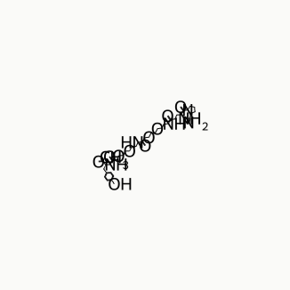 CC(=O)[C@H](Cc1ccc(O)cc1)NC(=O)COCCOCCNC(=O)COCCOCCNC(=O)CC[C@H](N)C(=O)N1CCC[C@H]1C#N